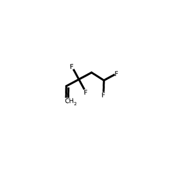 C=CC(F)(F)CC(F)F